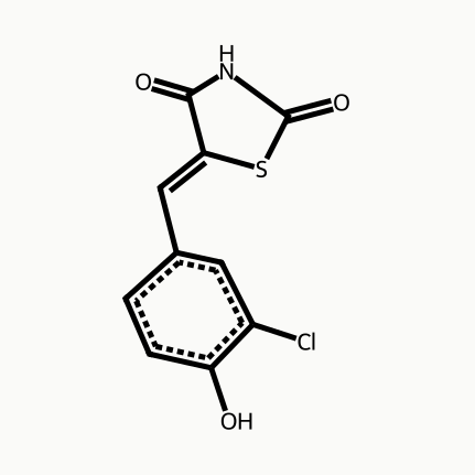 O=C1NC(=O)C(=Cc2ccc(O)c(Cl)c2)S1